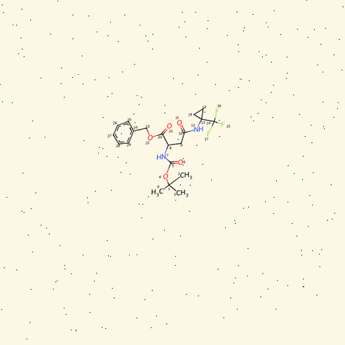 CC(C)(C)OC(=O)NC(CC(=O)NC1(C(F)(F)F)CC1)C(=O)OCc1ccccc1